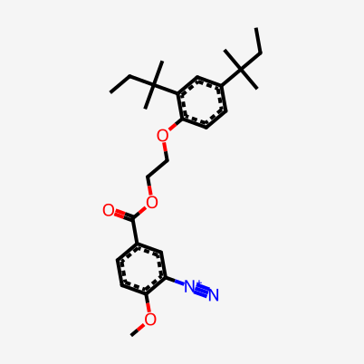 CCC(C)(C)c1ccc(OCCOC(=O)c2ccc(OC)c([N+]#N)c2)c(C(C)(C)CC)c1